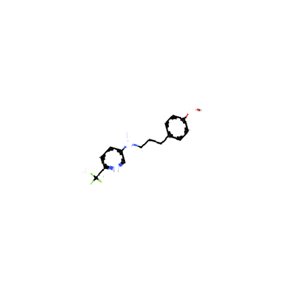 COc1ccc(CCCNc2ccc(C(F)(F)F)nc2)cc1